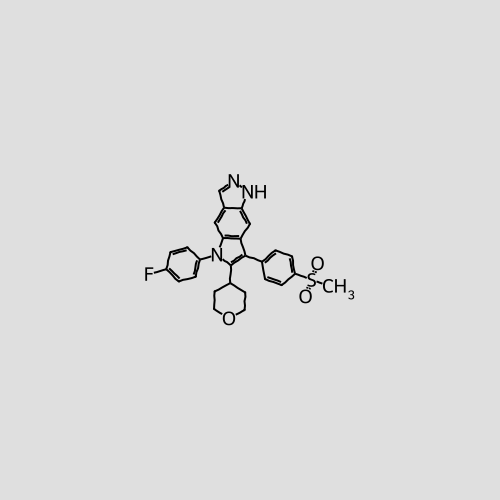 CS(=O)(=O)c1ccc(-c2c(C3CCOCC3)n(-c3ccc(F)cc3)c3cc4cn[nH]c4cc23)cc1